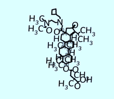 CC(=O)N(C)CCN(CC1CCC1)C[C@H](O)[C@@]12CC[C@]3(C)[C@H](CC[C@@H]4[C@@]5(C)CC[C@H](OC(=O)CC(C)(C)C(=O)O)C(C)(C)[C@H]5CC[C@]43C)C1=C(C(C)C)C(=O)C2